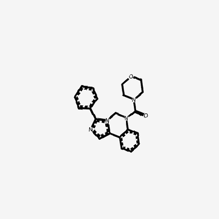 O=C(N1CCOCC1)N1Cn2c(cnc2-c2ccccc2)-c2ccccc21